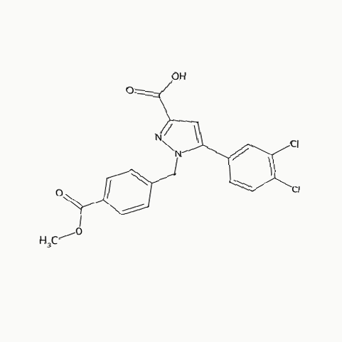 COC(=O)c1ccc(Cn2nc(C(=O)O)cc2-c2ccc(Cl)c(Cl)c2)cc1